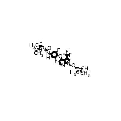 COCC(C)(F)CNC(=O)Nc1cc(F)c(Oc2ccnc3c2c(C(F)(F)F)cn3COCC[Si](C)(C)C)c(F)c1